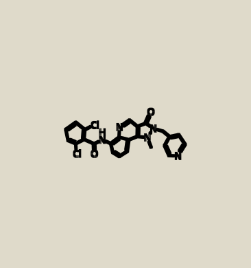 Cn1c2c(cnc3c(NC(=O)c4c(Cl)cccc4Cl)cccc32)c(=O)n1Cc1ccncc1